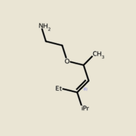 CC/C(=C\C(C)OCCN)C(C)C